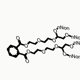 CCCCCCCCCOCC(OCCCCCCCCC)OCCOCCOC(=O)c1ccccc1C(=O)OCCOCCOC(COCCCCCCCCC)OCCCCCCCCC